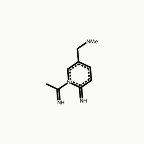 CNCc1ccc(=N)n(C(C)=N)c1